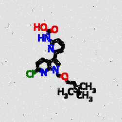 C[Si](C)(C)CCOCn1cc(-c2cccc(NC(=O)O)n2)c2ccc(Cl)nc21